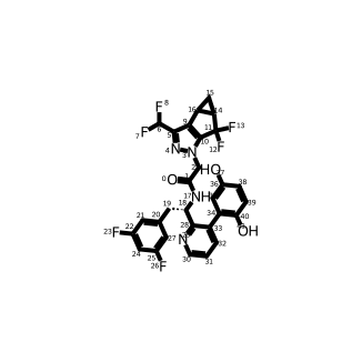 O=C(Cn1nc(C(F)F)c2c1C(F)(F)C1CC21)N[C@@H](Cc1cc(F)cc(F)c1)c1ncccc1-c1cc(O)ccc1O